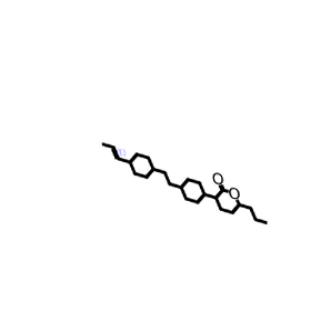 C/C=C/C1CCC(CCC2CCC(C3CCC(CCC)OC3=O)CC2)CC1